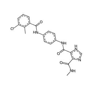 CNC(=O)c1nc[nH]c1C(=O)Nc1ccc(NC(=O)c2cccc(Cl)c2C)cc1